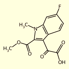 COC(=O)c1c(C(=O)C(=O)O)c2ccc(F)cc2n1C